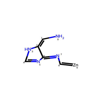 NC=C1NC=NC1=N[CH]=[Zn]